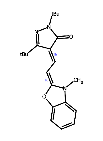 CN1/C(=C\C=C2\C(=O)N(C(C)(C)C)N=C2C(C)(C)C)Oc2ccccc21